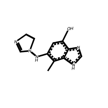 Cc1c(NN2C=NCC2)cc(O)c2nc[nH]c12